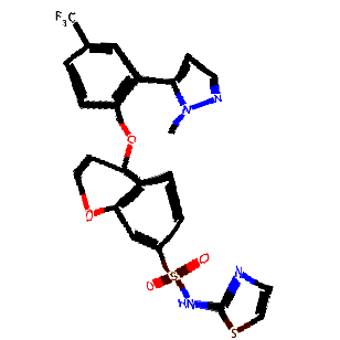 Cn1nccc1-c1cc(C(F)(F)F)ccc1OC1CCOc2cc(S(=O)(=O)Nc3nccs3)ccc21